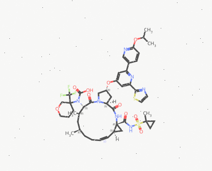 CC(C)Oc1ccc(-c2cc(O[C@@H]3C[C@H]4C(=O)N[C@]5(C(=O)NS(=O)(=O)C6(C)CC6)C[C@H]5/C=C\CC[C@@H](C)C[C@@H](C)[C@H](N(C(=O)O)C5(C(F)(F)F)CCCOC5)C(=O)N4C3)cc(-c3nccs3)n2)cn1